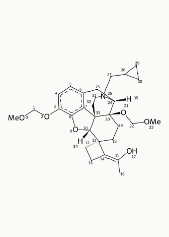 COCOc1ccc2c3c1O[C@H]1[C@@]4(CCC4=C(C)O)CC[C@@]4(OCOC)[C@@H](C2)N(CC2CC2)CC[C@]314